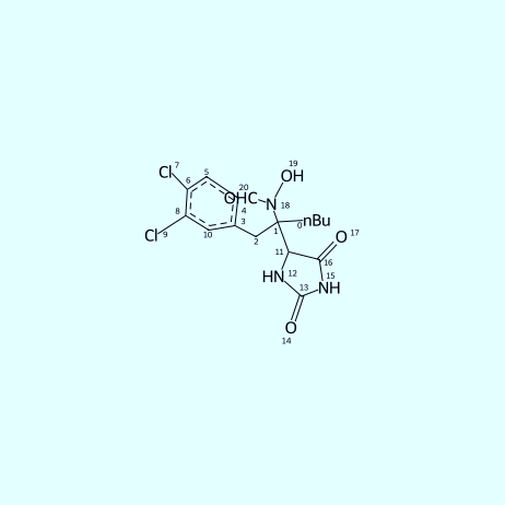 CCCCC(Cc1ccc(Cl)c(Cl)c1)(C1NC(=O)NC1=O)N(O)C=O